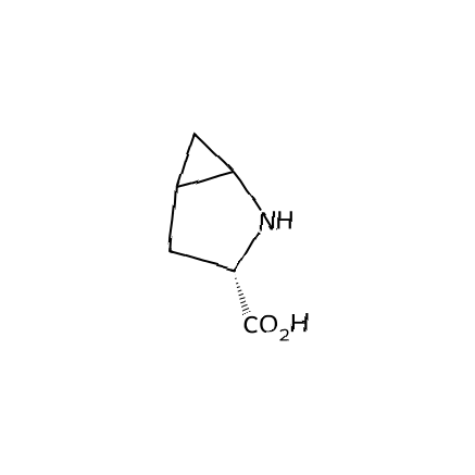 O=C(O)[C@@H]1CC2CC2N1